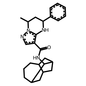 CC1CC(c2ccccc2)Nc2c(C(=O)NC3C4CCCC5CC3CC5C4)cnn21